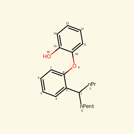 CCCCCC(CCC)c1ccccc1Oc1ccccc1O